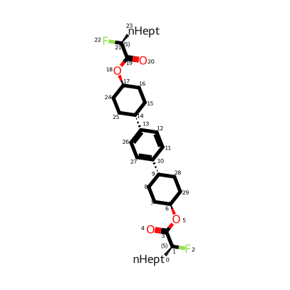 CCCCCCC[C@H](F)C(=O)O[C@H]1CC[C@H](c2ccc([C@H]3CC[C@H](OC(=O)[C@@H](F)CCCCCCC)CC3)cc2)CC1